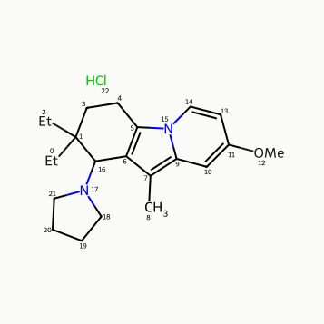 CCC1(CC)CCc2c(c(C)c3cc(OC)ccn23)C1N1CCCC1.Cl